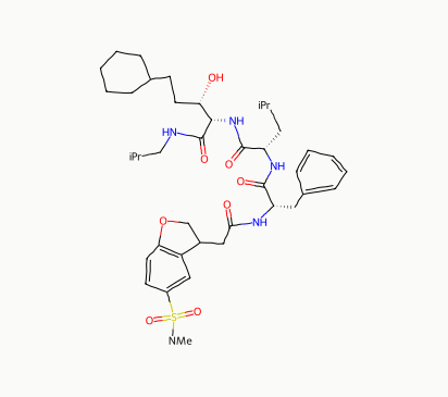 CNS(=O)(=O)c1ccc2c(c1)C(CC(=O)N[C@@H](Cc1ccccc1)C(=O)N[C@@H](CC(C)C)C(=O)N[C@H](C(=O)NCC(C)C)[C@@H](O)CCC1CCCCC1)CO2